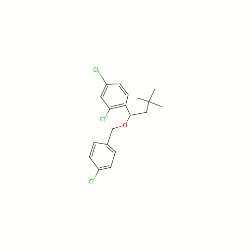 CC(C)(C)CC(OCc1ccc(Cl)cc1)c1ccc(Cl)cc1Cl